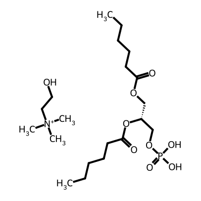 CCCCCC(=O)OC[C@H](COP(=O)(O)O)OC(=O)CCCCC.C[N+](C)(C)CCO